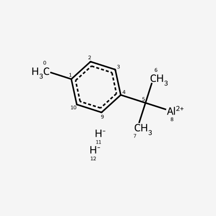 Cc1ccc([C](C)(C)[Al+2])cc1.[H-].[H-]